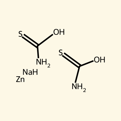 NC(O)=S.NC(O)=S.[NaH].[Zn]